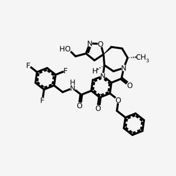 C[C@H]1CC[C@]2(CC(CO)=NO2)[C@H]2CN1C(=O)c1c(OCc3ccccc3)c(=O)c(C(=O)NCc3c(F)cc(F)cc3F)cn12